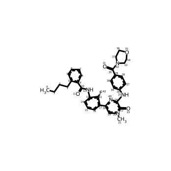 CCCCc1ccccc1C(=O)Nc1cccc(-c2cn(C)c(=O)c(Nc3ccc(C(=O)N4CCOCC4)cc3)n2)c1F